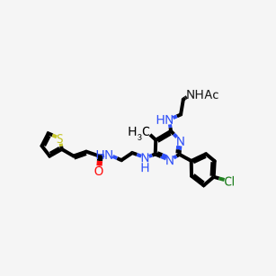 CC(=O)NCCNc1nc(-c2ccc(Cl)cc2)nc(NCCNC(=O)C=Cc2cccs2)c1C